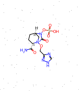 NC(=O)[C@@H]1CC[C@@H]2C[N+]1(OCc1nc[nH]n1)C(=O)N2OS(=O)(=O)O